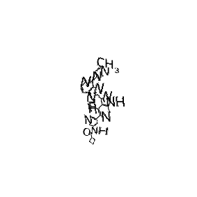 Cc1cn(-c2nccc3[nH]c(-c4n[nH]c5cnc(-c6cncc(NC(=O)C7CCC7)c6)c(F)c45)nc23)cn1